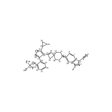 Cn1nc(C#N)c2ccc(N3CCC4(C=C(c5c(-c6ccccc6OC(F)(F)F)noc5C5CC5)C4)CC3)cc21